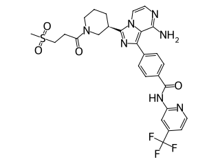 CS(=O)(=O)CCC(=O)N1CCC[C@@H](c2nc(-c3ccc(C(=O)Nc4cc(C(F)(F)F)ccn4)cc3)c3c(N)nccn23)C1